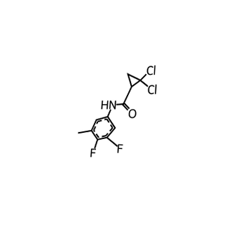 Cc1cc(NC(=O)C2CC2(Cl)Cl)cc(F)c1F